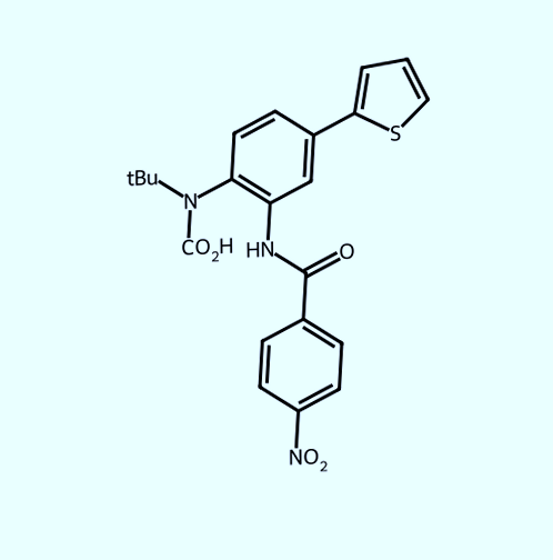 CC(C)(C)N(C(=O)O)c1ccc(-c2cccs2)cc1NC(=O)c1ccc([N+](=O)[O-])cc1